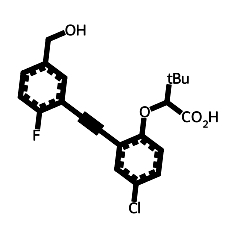 CC(C)(C)C(Oc1ccc(Cl)cc1C#Cc1cc(CO)ccc1F)C(=O)O